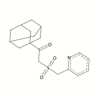 O=C(CS(=O)(=O)Cc1ccccn1)C12CC3CC(CC(C3)C1)C2